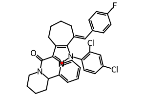 O=C(c1nn(-c2ccc(Cl)cc2Cl)c2c1CCCC/C2=C\c1ccc(F)cc1)N1CCCCC1c1ccccn1